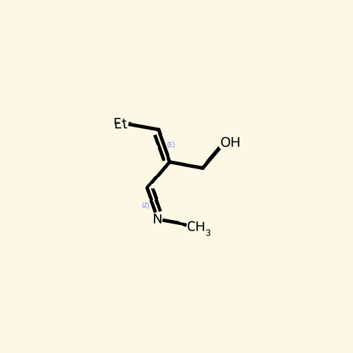 CC/C=C(\C=N/C)CO